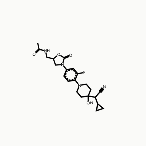 CC(=O)NCC1CN(c2ccc(N3CCC(O)(C(C#N)C4CC4)CC3)c(F)c2)C(=O)O1